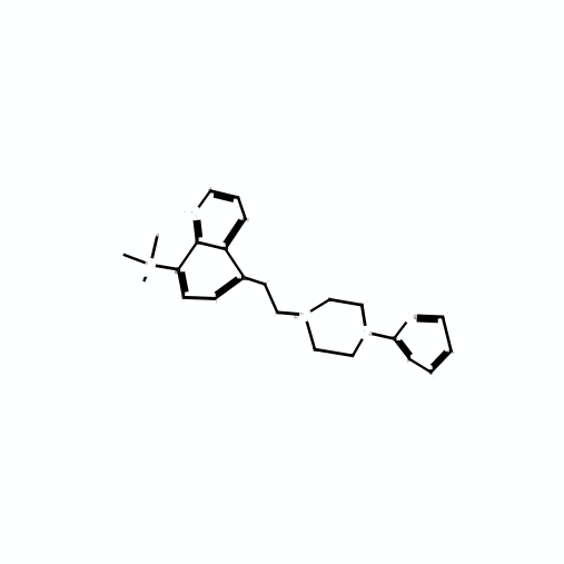 CC[PH](O)(CC)c1ccc(CCN2CCN(c3ccccn3)CC2)c2cccnc12